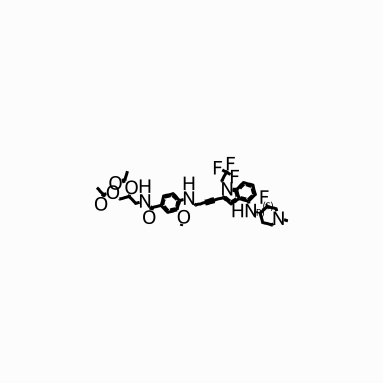 COc1cc(C(=O)NCC(COC(C)=O)OC(C)=O)ccc1NCC#Cc1cc2c(N[C@@H]3CCN(C)C[C@@H]3F)cccc2n1CC(F)(F)F